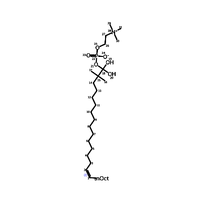 CCCCCCCC/C=C\CCCCCCCCCCCCC(C)(C)C(O)(O)OP(=O)([O-])OCC[N+](C)(C)C